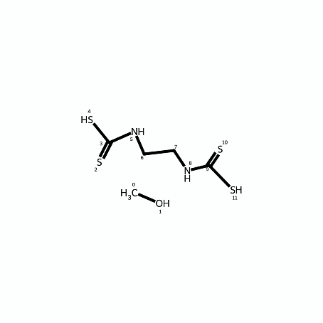 CO.S=C(S)NCCNC(=S)S